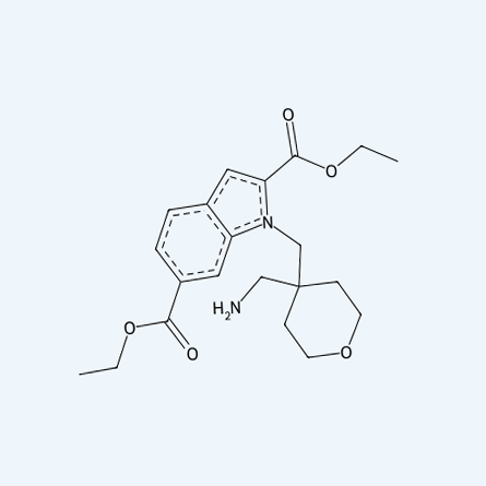 CCOC(=O)c1ccc2cc(C(=O)OCC)n(CC3(CN)CCOCC3)c2c1